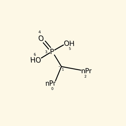 CCC[C](CCC)P(=O)(O)O